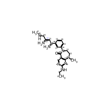 CCNc1ncc2c(n1)N(C)CCN(c1cccc(N(N)/C=C(\N)CNC)c1)C2=O